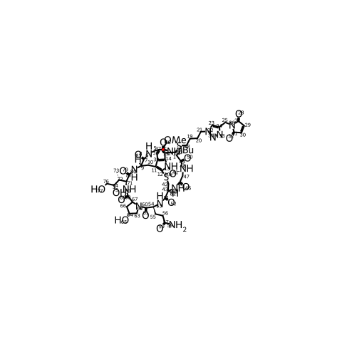 CC[C@H](C)[C@@H]1NC(=O)CNC(=O)[C@@H]2Cc3c([nH]c4c(CSCCCCn5cc(CN6C(=O)C=CC6=O)nn5)c(OC)ccc34)[S+]([O-])C[C@H](NC(=O)CNC1=O)C(=O)N[C@@H](CCC(N)=O)C(=O)N1C[C@H](O)CC1C(=O)N[C@@H]([C@@H](C)[C@@H](O)CO)C(=O)N2